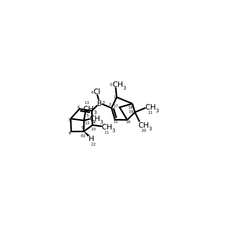 CC1C(B(Cl)C2=CC3C[C@@H](C2C)C3(C)C)=CC2CC1C2(C)C